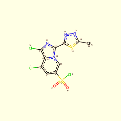 O=S(=O)(Cl)c1cc(Cl)c2c(Cl)nc(-c3nnc(C(F)(F)F)s3)n2c1